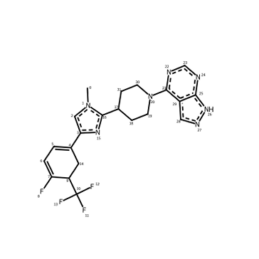 Cn1cc(C2=CC=C(F)C(C(F)(F)F)C2)nc1C1CCN(c2ncnc3[nH]ncc23)CC1